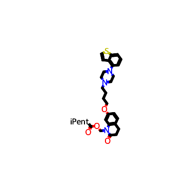 CCCC(C)C(=O)OCN1C(=O)CCc2ccc(OCCCCN3CCN(c4cccc5sccc45)CC3)cc21